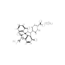 CC(C)(C)OC(=O)N1CCC(CCC2(c3ccccc3Cl)C(=O)N(N)c3ccc(Cl)cc32)CC1